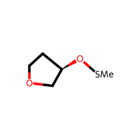 CSO[C@@H]1CCOC1